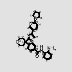 Nc1ccccc1NC(=O)c1ccc(C2(c3nc(-c4ccc(N5CCCC5)nc4)cs3)CCOCC2)cc1